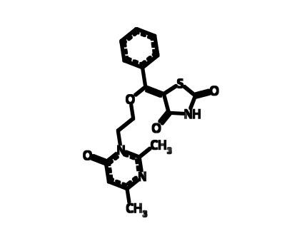 Cc1cc(=O)n(CCOC(=C2SC(=O)NC2=O)c2ccccc2)c(C)n1